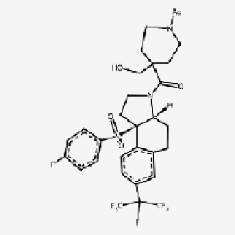 CC(=O)N1CCC(CO)(C(=O)N2CC[C@@]3(S(=O)(=O)c4ccc(F)cc4)c4ccc(C(F)(C(F)(F)F)C(F)(F)F)cc4CC[C@@H]23)CC1